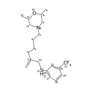 C=C(CCCCN1CC(C)OC(C)C1)C[SiH2]c1cccc(C(F)(F)F)c1